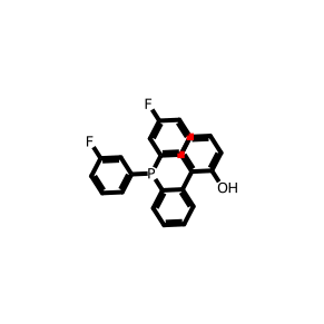 Oc1ccccc1-c1ccccc1P(c1cccc(F)c1)c1cccc(F)c1